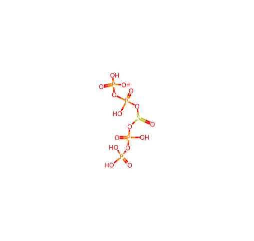 O=S(OP(=O)(O)OP(=O)(O)O)OP(=O)(O)OP(=O)(O)O